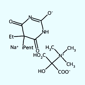 CCCC(C)C1(CC)C(=O)N=C([O-])NC1=O.C[N+](C)(C)C(O)(C(=O)[O-])C(=O)O.[Na+]